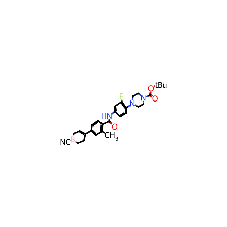 Cc1cc(C2=CCB(C#N)CC2)ccc1C(=O)Nc1ccc(N2CCN(C(=O)OC(C)(C)C)CC2)c(F)c1